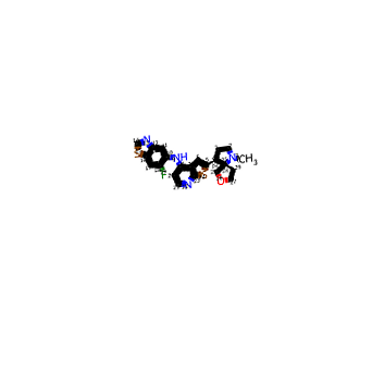 CN1CC[C@H](c2cc3c(Nc4cc5ncsc5cc4F)ccnc3s2)[C@]12CCOC2